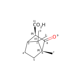 CC1(C)C2CC[C@@]1(C)C(=O)[C@@H]2C(=O)O